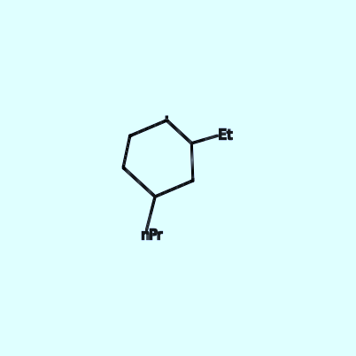 CCCC1CC[CH]C(CC)C1